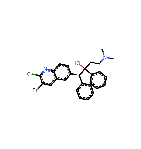 CCc1cc2cc([C@H](c3ccccc3)[C@](O)(CCN(C)C)c3ccccc3)ccc2nc1Cl